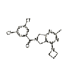 Cc1nc2c(c(N3CCC3)n1)CN(C(=O)c1cc(Cl)cc(Cl)c1)C2